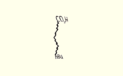 CCCCC=CCC=CCC=CCCCCCCCCCCCC(=O)O